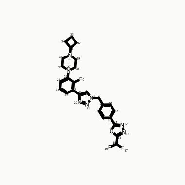 Fc1c(-c2cn(Cc3ccc(-c4nnc(C(F)F)o4)cc3)nn2)cccc1N1CCN(C2CCC2)CC1